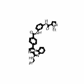 CCn1nccc1C(=O)Nc1cccc(NC(=O)c2ccc(-c3cnc4c(NCC(C)C)nc5ccccc5n34)cc2)c1